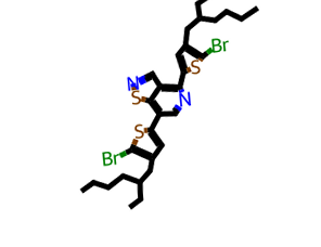 CCCCC(CC)Cc1cc(-c2ncc(-c3cc(CC(CC)CCCC)c(Br)s3)c3sncc23)sc1Br